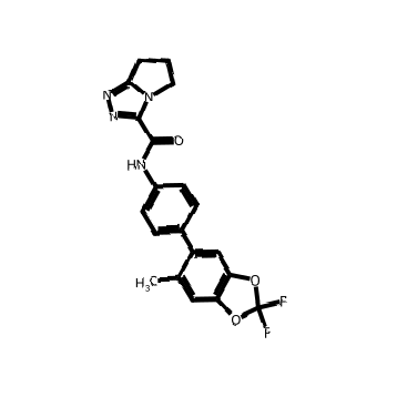 Cc1cc2c(cc1-c1ccc(NC(=O)c3nnc4n3CCC4)cc1)OC(F)(F)O2